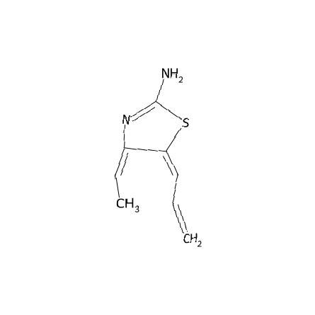 C=C/C=c1/sc(N)n/c1=C/C